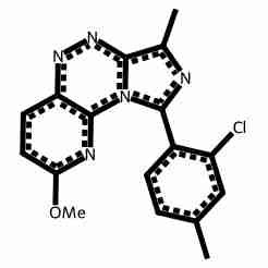 COc1ccc2nnc3c(C)nc(-c4ccc(C)cc4Cl)n3c2n1